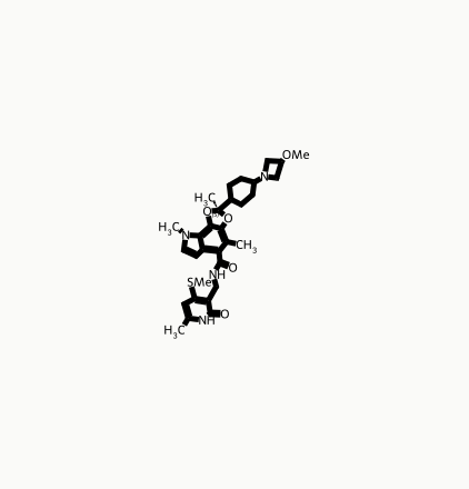 COC1CN(C2CCC([C@@]3(C)Oc4c(C)c(C(=O)NCc5c(SC)cc(C)[nH]c5=O)c5ccn(C)c5c4O3)CC2)C1